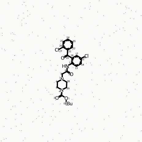 CC(C)(C)OC(=O)N1CCN(CC(=O)Nc2ccc(Cl)cc2C(=O)c2ccccc2Cl)CC1